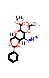 COC(=O)[C@@H]1O[C@@H]2CO[C@H](c3ccccc3)O[C@@H]2[C@H](N=[N+]=[N-])[C@H]1OC(C)=O